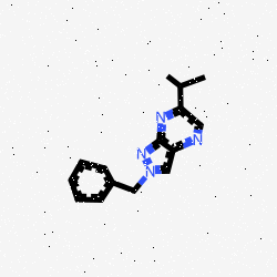 CC(C)c1cnc2cn(Cc3ccccc3)nc2n1